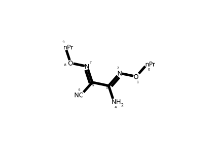 CCCON=C(N)C(C#N)=NOCCC